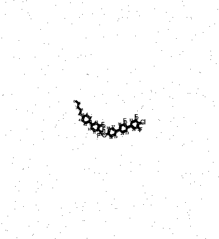 CCCCCc1ccc(-c2ccc(C(F)(F)Oc3ccc(-c4ccc(-c5cc(F)c(Cl)c(F)c5)c(F)c4)cc3)c(F)c2)cc1